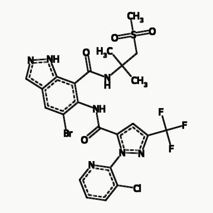 CC(C)(CS(C)(=O)=O)NC(=O)c1c(NC(=O)c2cc(C(F)(F)F)nn2-c2ncccc2Cl)c(Br)cc2cn[nH]c12